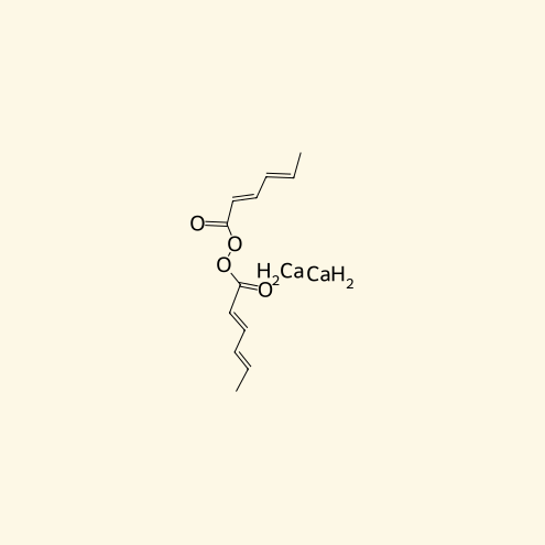 C/C=C/C=C/C(=O)OOC(=O)/C=C/C=C/C.[CaH2].[CaH2]